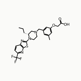 CCC[C@@H]1CN(Cc2cc(C)cc(OCC(=O)O)c2)CCN1c1nc2ccc(C(F)(F)F)nc2s1